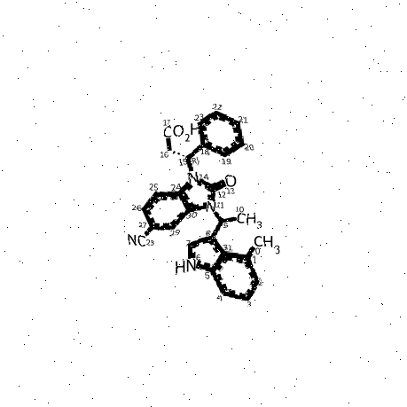 Cc1cccc2[nH]cc(C(C)n3c(=O)n([C@H](CC(=O)O)c4ccccc4)c4ccc(C#N)cc43)c12